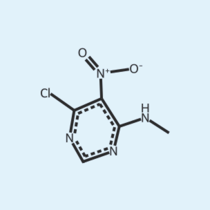 CNc1ncnc(Cl)c1[N+](=O)[O-]